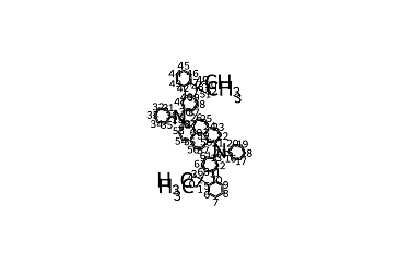 CCC1(CC)c2ccccc2-c2cc(N(c3ccccc3)c3ccc4ccc5c(N(c6ccccc6)c6ccc7c(c6)-c6ccccc6C7(CC)CC)ccc6ccc3c4c65)ccc21